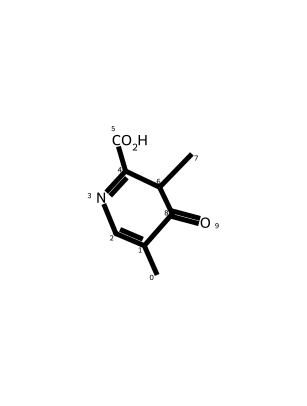 CC1=CN=C(C(=O)O)C(C)C1=O